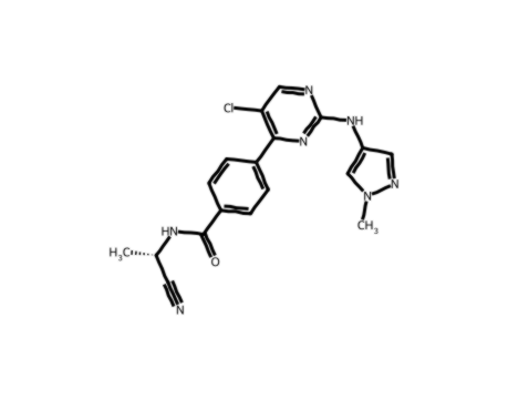 C[C@@H](C#N)NC(=O)c1ccc(-c2nc(Nc3cnn(C)c3)ncc2Cl)cc1